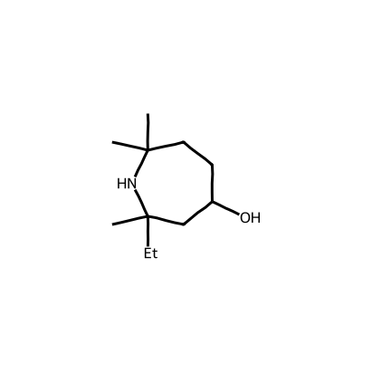 CCC1(C)CC(O)CCC(C)(C)N1